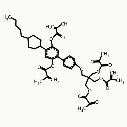 C=C(C)C(=O)OCC(COC(=O)C(C)=O)(COC(=O)C(C)=O)COc1ccc(-c2cc(OC(=O)C(=C)C)c(C3CCC(CCCCC)CC3)cc2OC(=O)C(=C)C)cc1